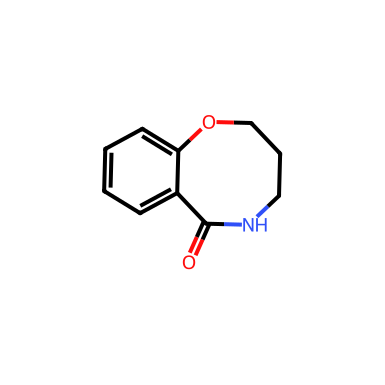 O=C1NCCCOc2ccccc21